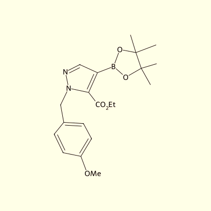 CCOC(=O)c1c(B2OC(C)(C)C(C)(C)O2)cnn1Cc1ccc(OC)cc1